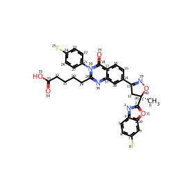 C[C@]1(c2nc3ccc(F)cc3o2)CC(c2ccc3c(=O)n(-c4ccc(F)cc4)c(CCCCC(=O)O)nc3c2)=NO1